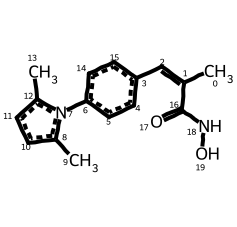 CC(=Cc1ccc(-n2c(C)ccc2C)cc1)C(=O)NO